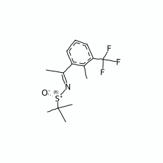 CC(=N[S@@+]([O-])C(C)(C)C)c1cccc(C(F)(F)F)c1C